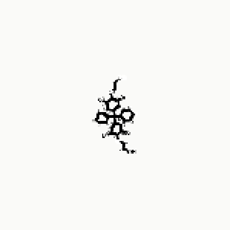 OCCOc1c(Br)cc(C(c2ccccc2)(c2ccccc2)c2cc(Br)c(OCCO)c(Br)c2)cc1Br